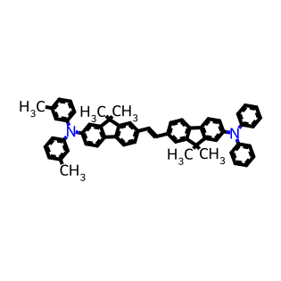 Cc1cccc(N(c2cccc(C)c2)c2ccc3c(c2)C(C)(C)c2cc(/C=C/c4ccc5c(c4)C(C)(C)c4cc(N(c6ccccc6)c6ccccc6)ccc4-5)ccc2-3)c1